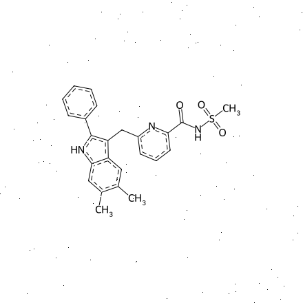 Cc1cc2[nH]c(-c3ccccc3)c(Cc3cccc(C(=O)NS(C)(=O)=O)n3)c2cc1C